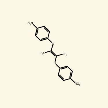 O=[N+]([O-])c1ccc(O/C(=C(/Oc2ccc([N+](=O)[O-])cc2)C(F)(F)F)C(F)(F)F)cc1